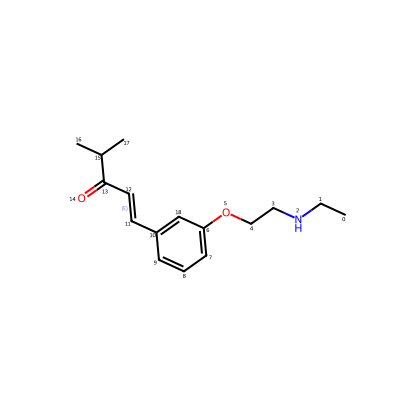 CCNCCOc1cccc(/C=C/C(=O)C(C)C)c1